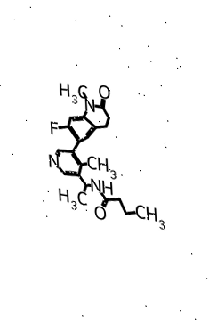 CCCC(=O)NC(C)c1cncc(-c2cc3c(cc2F)N(C)C(=O)CC3)c1C